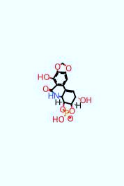 O=C1NC2C(=C[C@H](O)[C@H]3OP(=O)(O)O[C@@H]23)c2cc3c(c(O)c21)OCO3